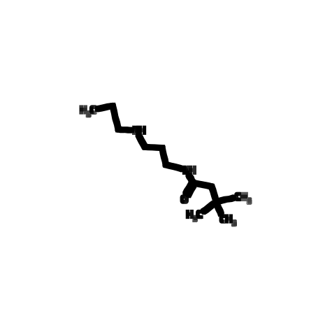 CCCNCCCNC(=O)CC(C)(C)C